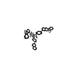 c1ccc2cc(-c3ccc(-c4nc(-c5ccc(-c6ccc7cc8c(cc7c6)oc6ccccc68)cc5)nc(-c5cccc6oc7ccccc7c56)n4)cc3)ccc2c1